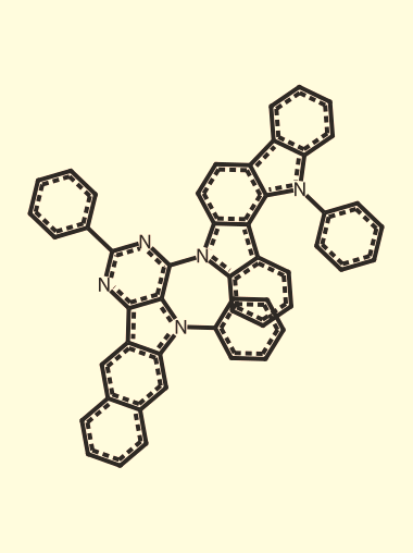 c1ccc(-c2nc(-n3c4ccccc4c4c3ccc3c5ccccc5n(-c5ccccc5)c34)c3c(n2)c2cc4ccccc4cc2n3-c2ccccc2)cc1